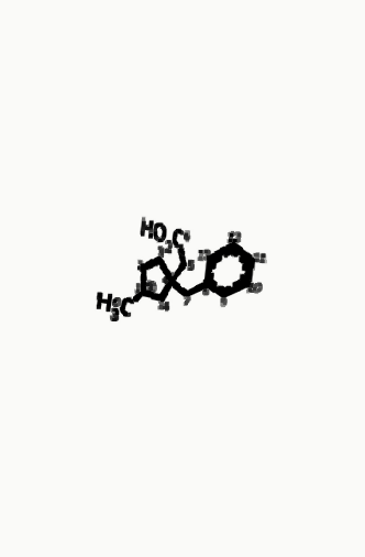 C[C@H]1CC[C@](CC(=O)O)(Cc2ccccc2)C1